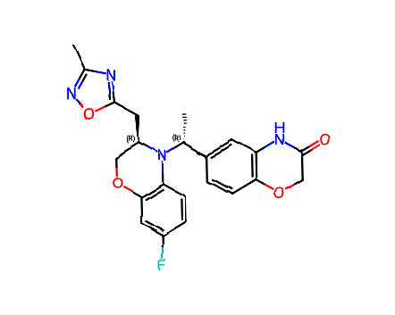 Cc1noc(C[C@@H]2COc3cc(F)ccc3N2[C@H](C)c2ccc3c(c2)NC(=O)CO3)n1